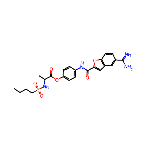 CCCCS(=O)(=O)NC(C)C(=O)Oc1ccc(NC(=O)c2cc3cc(C(=N)N)ccc3o2)cc1